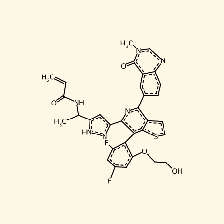 C=CC(=O)NC(C)c1cc(-c2nc(-c3ccc4ncn(C)c(=O)c4c3)c3ccsc3c2-c2c(F)cc(F)cc2OCCO)n[nH]1